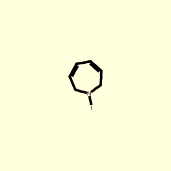 IN1CC=CC=CC1